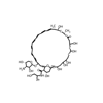 CC(C)C(CO)NC(=O)[C@H]1[C@@H]2CC(O[C@@H]3OC[C@@H](O)[C@H](N)[C@@H]3O)/C=C/C=C/C=C/C=C/C=C/C=C/C=C/[C@H](C)[C@@H](O)C[C@H](C)OC(=O)CC(O)CC(O)CCC(O)C(O)CC(O)CC(O)(C[C@@H]1O)O2